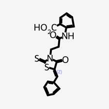 O=C(CCN1C(=O)/C(=C/c2ccccc2)SC1=S)Nc1ccccc1C(=O)O